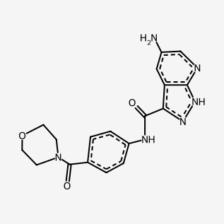 Nc1cnc2[nH]nc(C(=O)Nc3ccc(C(=O)N4CCOCC4)cc3)c2c1